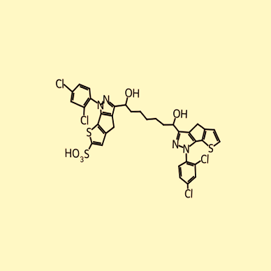 O=S(=O)(O)c1cc2c(s1)-c1c(c(C(O)CCCCCC(O)c3nn(-c4ccc(Cl)cc4Cl)c4c3Cc3ccsc3-4)nn1-c1ccc(Cl)cc1Cl)C2